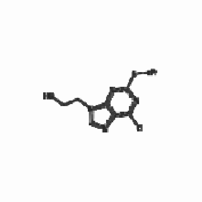 CCCSc1nc(Cl)c2ncn(CCO)c2n1